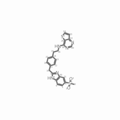 CS(=O)(=O)c1ccc2[nH]c(Cc3ccc(CCNc4ncnc5ccsc45)cc3)nc2c1